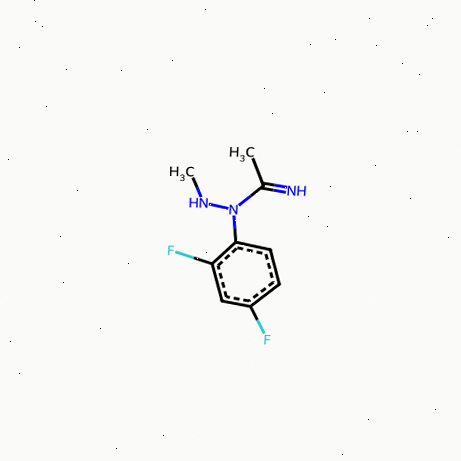 CNN(C(C)=N)c1ccc(F)cc1F